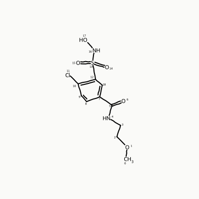 COCCNC(=O)c1ccc(Cl)c(S(=O)(=O)NO)c1